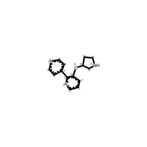 c1cnc(-c2ccncc2)c(OC2CCNC2)c1